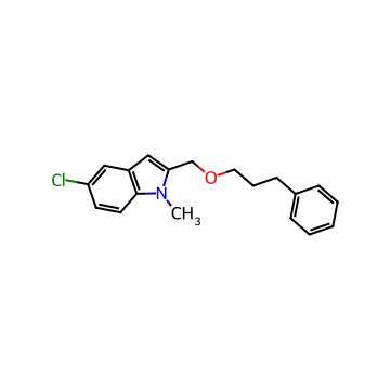 Cn1c(COCCCc2ccccc2)cc2cc(Cl)ccc21